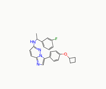 CC(Nc1ccc2ncc(-c3ccc(OC4CCC4)cc3)n2n1)c1cccc(F)c1